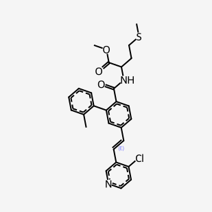 COC(=O)C(CCSC)NC(=O)c1ccc(/C=C/c2cnccc2Cl)cc1-c1ccccc1C